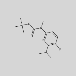 CC(C)c1nc(N(C)C(=O)OC(C)(C)C)ccc1F